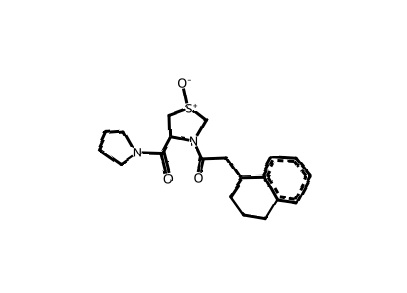 O=C(C1C[S+]([O-])CN1C(=O)CC1CCCc2ccccc21)N1CCCC1